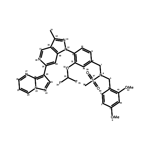 COc1ccc(CN(Cc2ccc(-n3nc(C)c4cnc(-c5cnn6cccnc56)cc43)c(OC(F)F)c2)S(C)(=O)=O)c(OC)c1